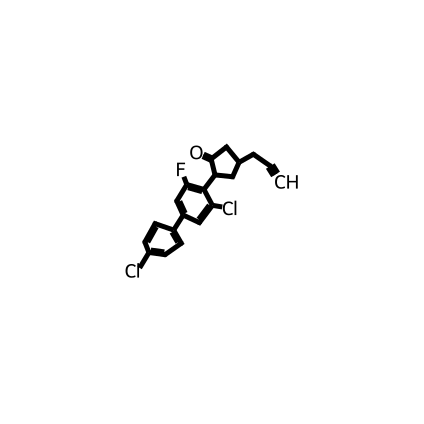 C#CCC1CC(=O)C(c2c(F)cc(-c3ccc(Cl)cc3)cc2Cl)C1